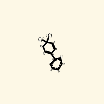 ClC1(Cl)C=CC(c2ccccc2)=CC1